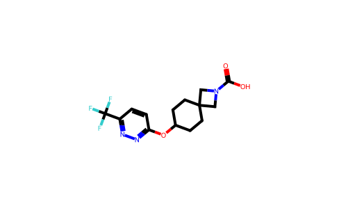 O=C(O)N1CC2(CCC(Oc3ccc(C(F)(F)F)nn3)CC2)C1